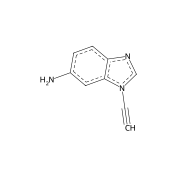 C#Cn1cnc2ccc(N)cc21